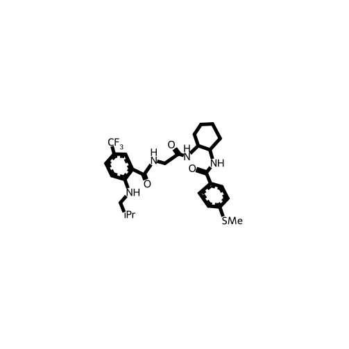 CSc1ccc(C(=O)NC2CCCCC2NC(=O)CNC(=O)c2cc(C(F)(F)F)ccc2NCC(C)C)cc1